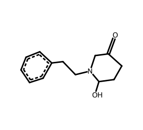 O=C1CCC(O)N(CCc2ccccc2)C1